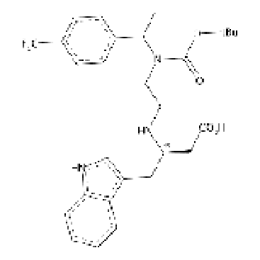 CC(c1ccc(C(F)(F)F)cc1)N(CCN[C@@H](CC(=O)O)Cc1c[nH]c2ccccc12)C(=O)OC(C)(C)C